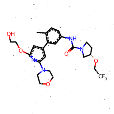 Cc1ccc(NC(=O)N2CC[C@H](OCC(F)(F)F)C2)cc1-c1cc(OCCO)nc(N2CCOCC2)c1